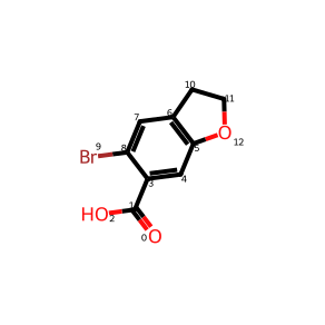 O=C(O)c1cc2c(cc1Br)CCO2